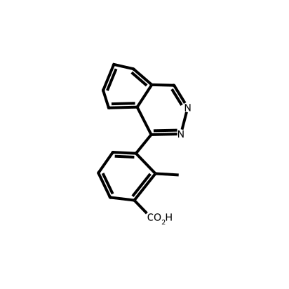 Cc1c(C(=O)O)cccc1-c1nncc2ccccc12